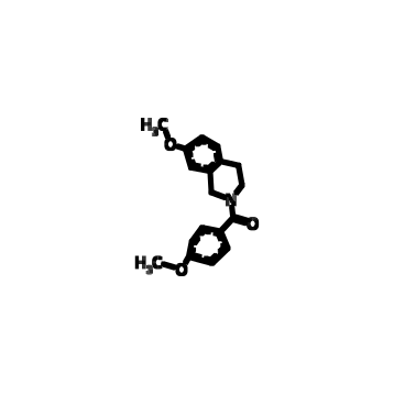 COc1ccc(C(=O)N2CCc3ccc(OC)cc3C2)cc1